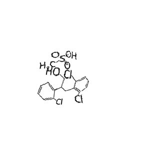 CS(=O)(=O)O.OCC(Cc1c(Cl)cccc1Cl)c1ccccc1Cl